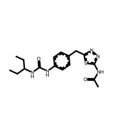 CCC(CC)NC(=O)Nc1ccc(Cc2nnc(NC(C)=O)s2)cc1